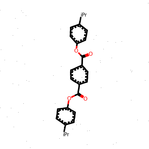 CC(C)c1ccc(OC(=O)c2ccc(C(=O)Oc3ccc(C(C)C)cc3)cc2)cc1